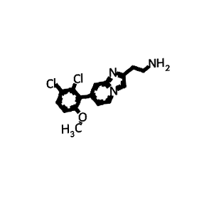 COc1ccc(Cl)c(Cl)c1-c1ccn2cc(CCN)nc2c1